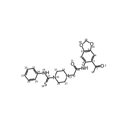 CC(=O)c1cc2c(cc1NC(=O)CN1CCN(C(=S)Nc3ccccc3)CC1)OCO2